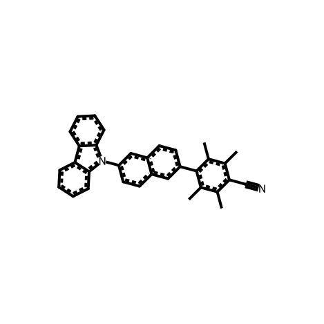 Cc1c(C)c(-c2ccc3cc(-n4c5ccccc5c5ccccc54)ccc3c2)c(C)c(C)c1C#N